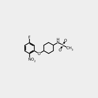 CS(=O)(=O)NC1CCC(Oc2cc(F)ccc2[N+](=O)[O-])CC1